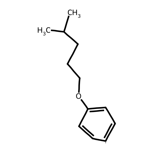 CC(C)CCCOc1cc[c]cc1